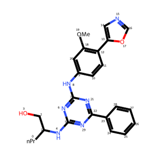 CCCC(CO)Nc1nc(Nc2ccc(-c3cnco3)c(OC)c2)nc(-c2ccccc2)n1